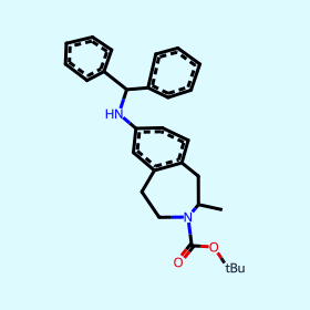 CC1Cc2ccc(NC(c3ccccc3)c3ccccc3)cc2CCN1C(=O)OC(C)(C)C